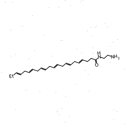 CCC=CCC=CCC=CCC=CCC=CCC=CCCC(=O)NCCN